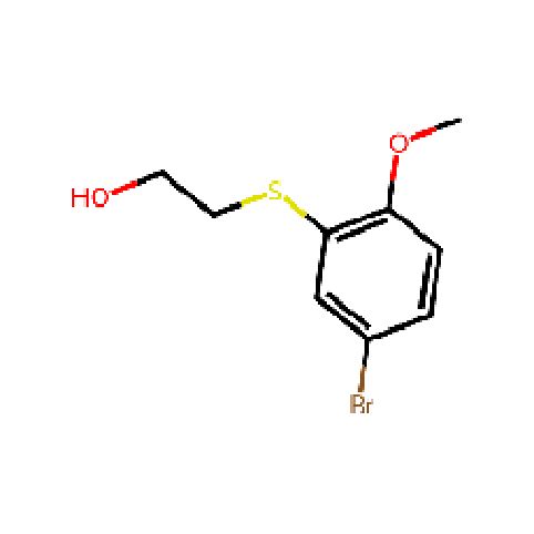 COc1ccc(Br)cc1SCCO